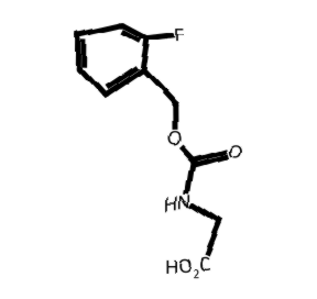 O=C(O)CNC(=O)OCc1ccccc1F